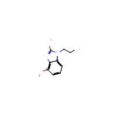 CCCn1c(OC)nc2c(OC)cccc21